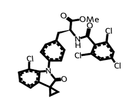 COC(=O)[C@H](Cc1ccc(N2C(=O)C3(CC3)c3cccc(Cl)c32)cc1)NC(=O)c1c(Cl)cc(Cl)cc1Cl